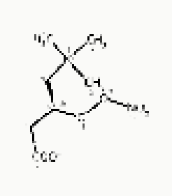 C[N+](C)(C)C[C@H](CC(=O)[O-])OO[N+](=O)[O-]